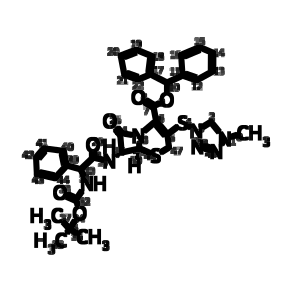 CN1CN(SC2=C(C(=O)OC(c3ccccc3)c3ccccc3)N3C(=O)[C@@H](NC(=O)C(NC(=O)OC(C)(C)C)c4ccccc4)[C@@H]3SC2)N=N1